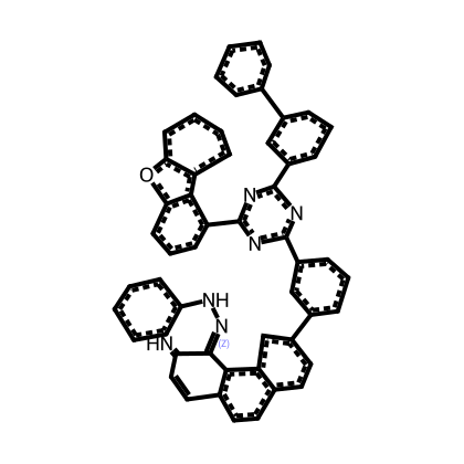 N=C1C=Cc2ccc3ccc(-c4cccc(-c5nc(-c6cccc(-c7ccccc7)c6)nc(-c6cccc7oc8ccccc8c67)n5)c4)cc3c2/C1=N/Nc1ccccc1